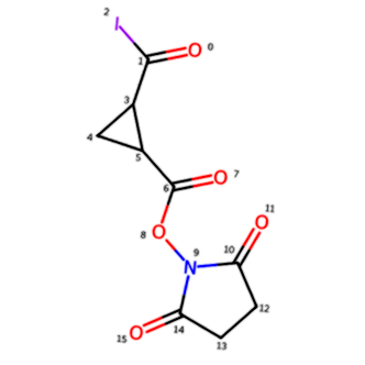 O=C(I)C1CC1C(=O)ON1C(=O)CCC1=O